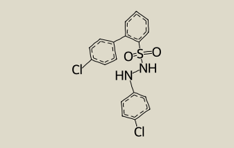 O=S(=O)(NNc1ccc(Cl)cc1)c1ccccc1-c1ccc(Cl)cc1